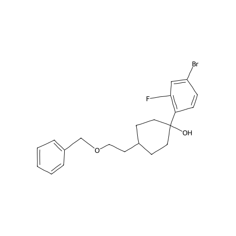 OC1(c2ccc(Br)cc2F)CCC(CCOCc2ccccc2)CC1